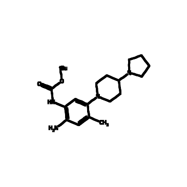 Cc1cc(N)c(NC(=O)OC(C)(C)C)cc1N1CCC(N2CCCC2)CC1